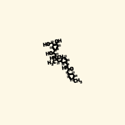 Cc1ccc(CC(=O)NCc2cccc(CC(C)(C)NC[C@@H](O)c3ccc(O)c(CO)c3)c2)cc1